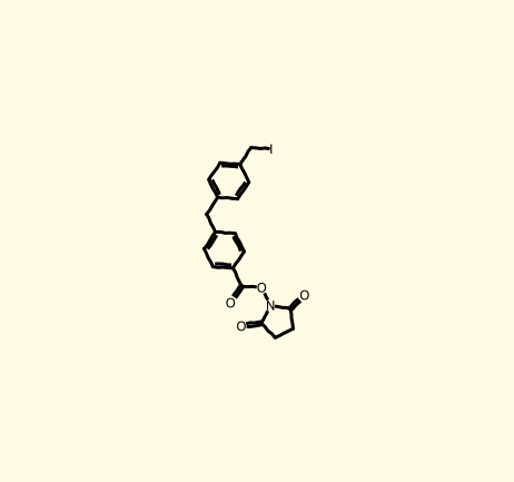 O=C(ON1C(=O)CCC1=O)c1ccc(Cc2ccc(CI)cc2)cc1